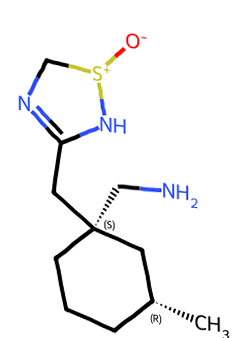 C[C@@H]1CCC[C@@](CN)(CC2=NC[S+]([O-])N2)C1